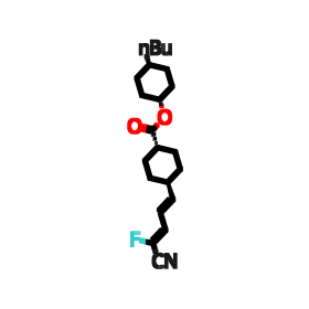 CCCC[C@H]1CC[C@H](OC(=O)[C@H]2CC[C@H](C=CC=C(F)C#N)CC2)CC1